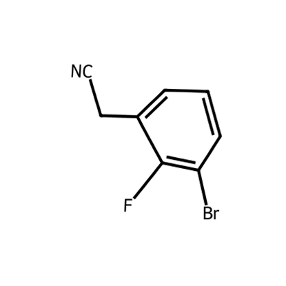 N#CCc1cccc(Br)c1F